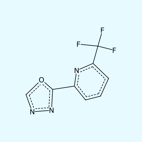 FC(F)(F)c1cccc(-c2nnco2)n1